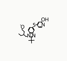 CCC(CCOC)Cn1c(C(C)(C)C)nc2cc(Sc3ccnc(O)c3)ccc21